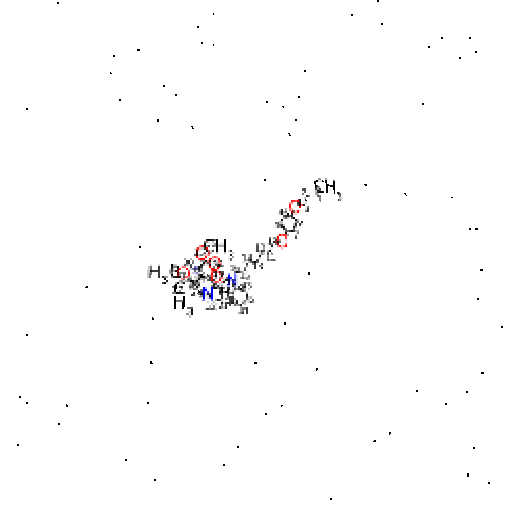 CCCCOc1ccc(OCCCCCCCN2C(=O)[C@]3(CCN4C[C@H](CC)[C@@H](/C(=C\OC)C(=O)OC)CC43)c3ccccc32)cc1